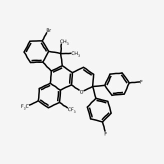 CC1(C)c2c(Br)cccc2-c2c1c1c(c3c(C(F)(F)F)cc(C(F)(F)F)cc23)OC(c2ccc(F)cc2)(c2ccc(F)cc2)C=C1